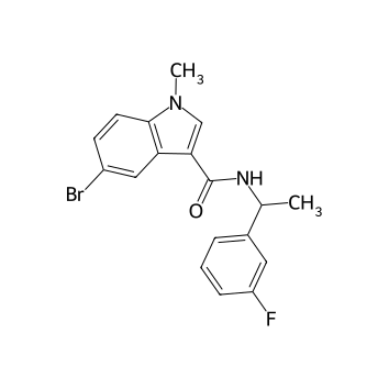 CC(NC(=O)c1cn(C)c2ccc(Br)cc12)c1cccc(F)c1